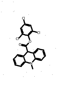 CN1c2ccccc2C(C(=O)Oc2c(Cl)cc(Cl)cc2Cl)c2ccccc21